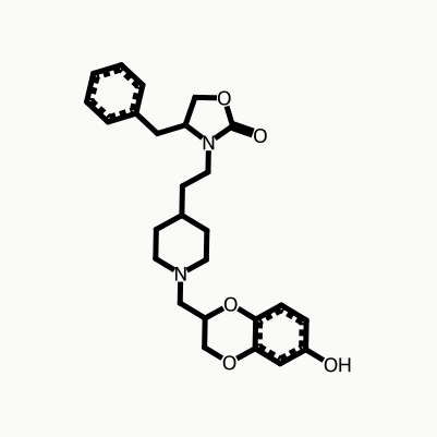 O=C1OCC(Cc2ccccc2)N1CCC1CCN(CC2COc3cc(O)ccc3O2)CC1